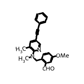 COc1ccc(CN(C)c2ncc(C#Cc3ccccc3)cc2C)c(C=O)c1